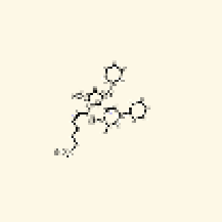 CCOC(=O)CCC/C=C\C[C@@H]1[C@@H](/C=C/[C@H](OC(C)OCC)C2CCCCC2)[C@H](OC2CCCCO2)C[C@H]1O